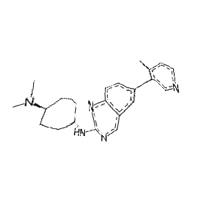 Cc1ccncc1-c1ccc2nc(N[C@H]3CC[C@H](N(C)C)CC3)ncc2c1